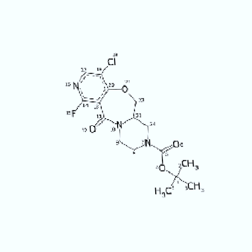 CC(C)(C)OC(=O)N1CCN2C(=O)c3c(F)ncc(Cl)c3OCC2C1